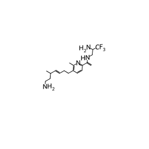 C=C(NCC(N)C(F)(F)F)c1ccc(CCC=CC(C)CCN)c(C)n1